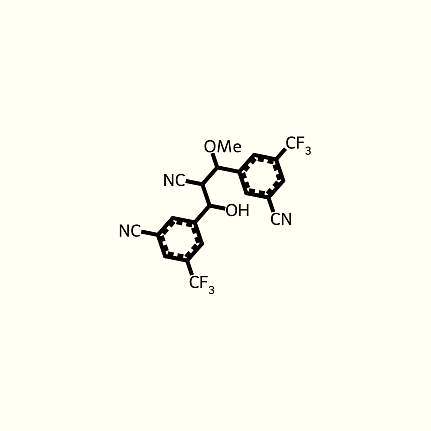 COC(c1cc(C#N)cc(C(F)(F)F)c1)C(C#N)C(O)c1cc(C#N)cc(C(F)(F)F)c1